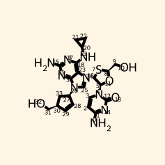 Nc1ccn([C@H]2CS[C@@H](CO)O2)c(=O)n1.Nc1nc(NC2CC2)c2ncn([C@H]3C=C[C@@H](CO)C3)c2n1